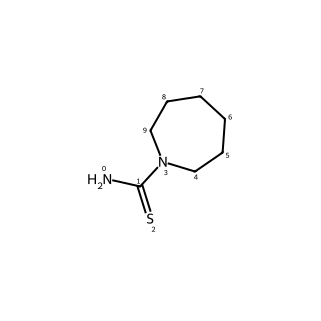 NC(=S)N1CCCCCC1